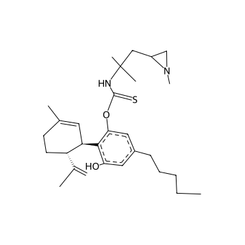 C=C(C)[C@@H]1CCC(C)=C[C@H]1c1c(O)cc(CCCCC)cc1OC(=S)NC(C)(C)CC1CN1C